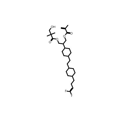 C=C(C)C(=O)OCC(COC(=O)C(C)(C)CO)C1CCC(CCC2CCC(CCC=C(F)F)CC2)CC1